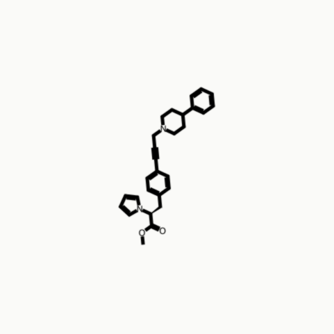 COC(=O)[C@H](Cc1ccc(C#CCN2CCC(c3ccccc3)CC2)cc1)n1cccc1